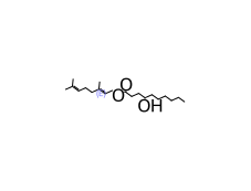 CCCCCCC(O)CCC(=O)OC/C=C(\C)CCC=C(C)C